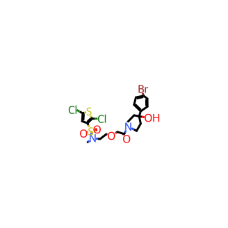 CN(CCOCC(=O)N1CCC(O)(c2ccc(Br)cc2)CC1)S(=O)(=O)c1cc(Cl)sc1Cl